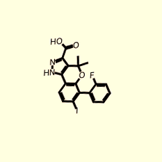 CC1(C)Oc2c(ccc(I)c2-c2ccccc2F)-c2[nH]nc(C(=O)O)c21